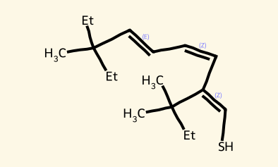 CCC(C)(/C=C/C=C\C(=C\S)C(C)(C)CC)CC